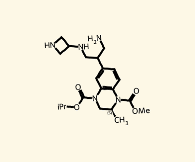 COC(=O)N1c2ccc(C(CN)CNC3CNC3)cc2N(C(=O)OC(C)C)C[C@@H]1C